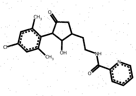 Cc1cc(Cl)cc(C)c1C1C(=O)CC(CCNC(=O)c2ccccn2)C1O